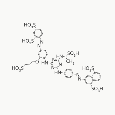 CC(Nc1nc(Nc2ccc(N=Nc3cc(S(=O)(=O)O)c4cccc(S(=O)(=O)O)c4c3)cc2)nc(Nc2ccc(N=Nc3ccc(S(=O)(=O)O)cc3S(=O)(=O)O)cc2OCCCS(=O)(=O)O)n1)S(=O)(=O)O